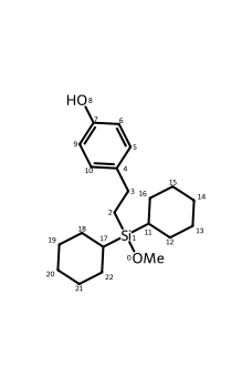 CO[Si](CCc1ccc(O)cc1)(C1CCCCC1)C1CCCCC1